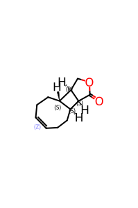 O=C1OC[C@@H]2[C@H]3CC/C=C\CC[C@@H]3[C@H]12